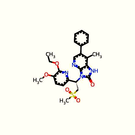 CCOc1nc([C@@H](CS(C)(=O)=O)n2c(=O)[nH]c3c(C)c(-c4ccccc4)cnc32)ccc1OC